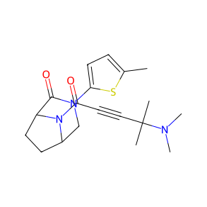 Cc1ccc(N2CC3CCC(C2=O)N3C(=O)C#CC(C)(C)N(C)C)s1